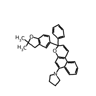 CC1(C)Cc2cc(C3(c4ccccc4)C=Cc4c(cc(N5CCCC5)c5ccccc45)O3)ccc2O1